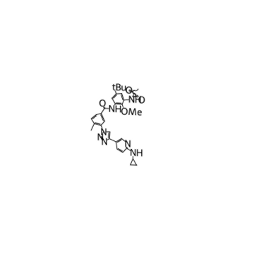 COc1c(NC(=O)c2ccc(C)c(-n3cc(-c4ccc(NC5CC5)nc4)nn3)c2)cc(C(C)(C)C)cc1NS(C)(=O)=O